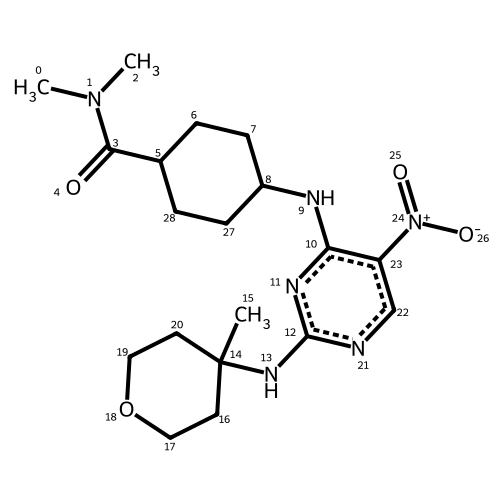 CN(C)C(=O)C1CCC(Nc2nc(NC3(C)CCOCC3)ncc2[N+](=O)[O-])CC1